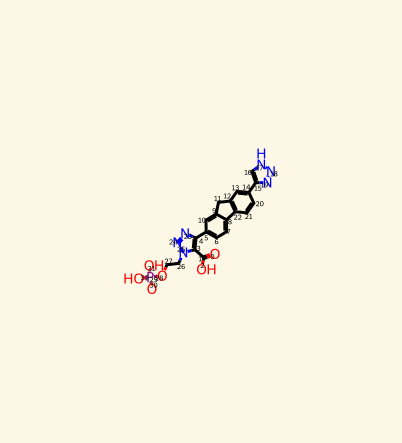 O=C(O)c1c(-c2ccc3c(c2)Cc2cc(-c4c[nH]nn4)ccc2-3)nnn1CCOP(=O)(O)O